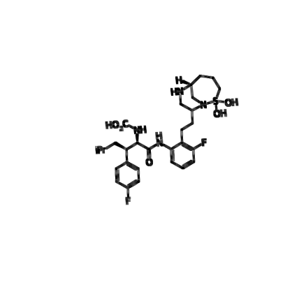 CC(C)C[C@H](c1ccc(F)cc1)[C@@H](NC(=O)O)C(=O)Nc1cccc(F)c1CCC1CN[C@@H]2CCCS(O)(O)N1C2